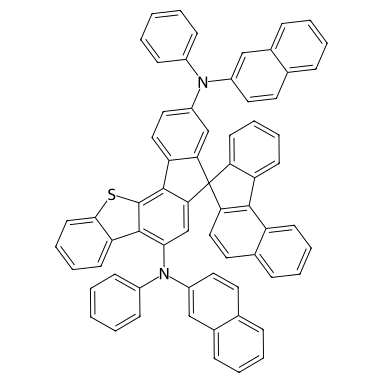 c1ccc(N(c2ccc3c(c2)C2(c4ccccc4-c4c2ccc2ccccc42)c2cc(N(c4ccccc4)c4ccc5ccccc5c4)c4c(sc5ccccc54)c2-3)c2ccc3ccccc3c2)cc1